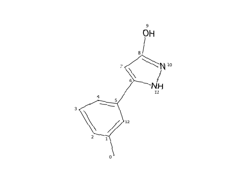 Cc1cccc(-c2cc(O)n[nH]2)c1